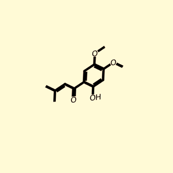 COc1cc(O)c(C(=O)C=C(C)C)cc1OC